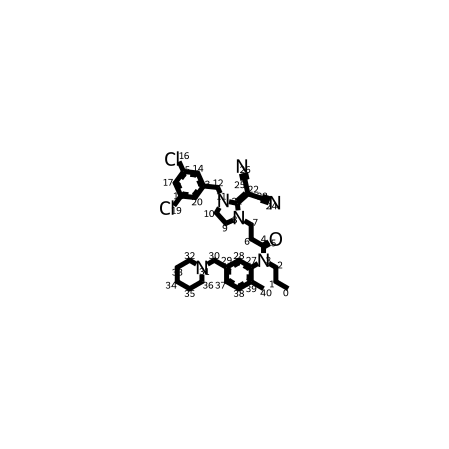 CCCN(C(=O)CCN1CCN(Cc2cc(Cl)cc(Cl)c2)C1=C(C#N)C#N)c1cc(CN2CCCCC2)ccc1C